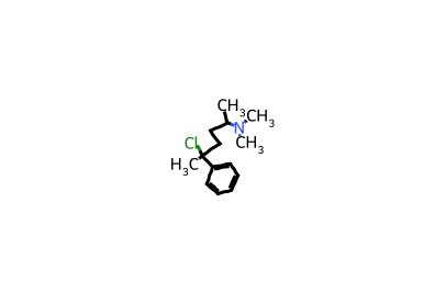 CC(CCC(C)(Cl)c1ccccc1)N(C)C